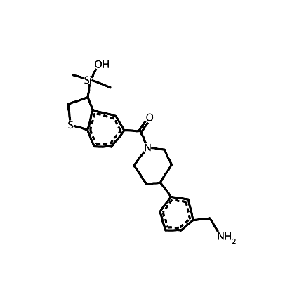 C[Si](C)(O)C1CSc2ccc(C(=O)N3CCC(c4cccc(CN)c4)CC3)cc21